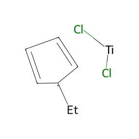 CC[C]1C=CC=C1.[Cl][Ti][Cl]